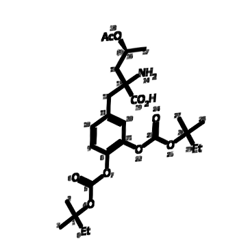 CCC(C)(C)OC(=O)Oc1ccc(CC(N)(C[C@H](C)OC(C)=O)C(=O)O)cc1OC(=O)OC(C)(C)CC